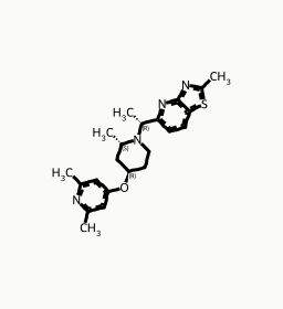 Cc1cc(O[C@@H]2CCN([C@H](C)c3ccc4sc(C)nc4n3)[C@@H](C)C2)cc(C)n1